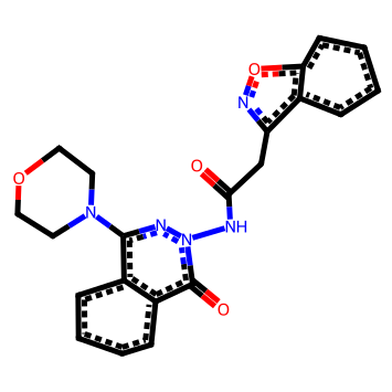 O=C(Cc1noc2ccccc12)Nn1nc(N2CCOCC2)c2ccccc2c1=O